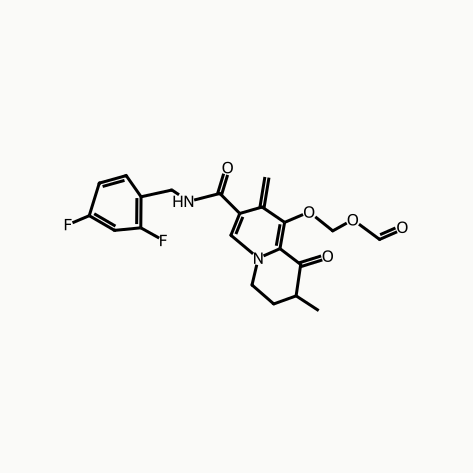 C=C1C(C(=O)NCc2ccc(F)cc2F)=CN2CCC(C)C(=O)C2=C1OCOC=O